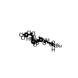 Cc1cc(NC(=O)CCCOC(=O)NC(C)(C)C)ccc1NC(=O)c1cc(NC(=O)C2C(c3ccc(Cl)c(Cl)c3)C2(Cl)Cl)ccc1Cl